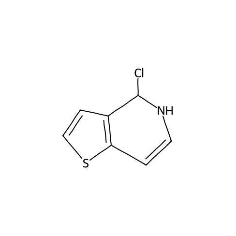 ClC1NC=Cc2sccc21